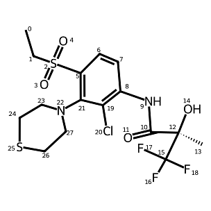 CCS(=O)(=O)c1ccc(NC(=O)[C@@](C)(O)C(F)(F)F)c(Cl)c1N1CCSCC1